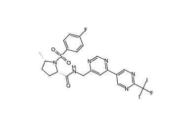 C[C@H]1CC[C@@H](C(=O)NCc2cc(-c3cnc(C(F)(I)I)nc3)ncn2)N1S(=O)(=O)c1ccc(F)cc1